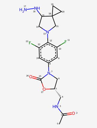 CC(=O)NC[C@H]1CN(c2cc(F)c(N3CC(NN)C4(CC4)C3)c(F)c2)C(=O)O1